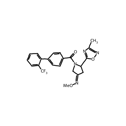 CON=C1CC(c2nc(C)no2)N(C(=O)c2ccc(-c3ccccc3C(F)(F)F)cc2)C1